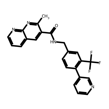 Cc1nc2ncccc2cc1C(=O)NCc1ccc(-c2cccnc2)c(C(F)(F)F)c1